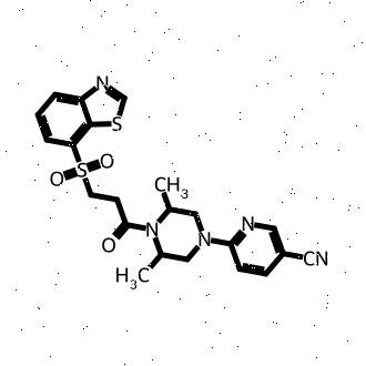 CC1CN(c2ccc(C#N)cn2)CC(C)N1C(=O)CCS(=O)(=O)c1cccc2ncsc12